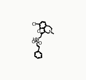 CN1CCc2ccc(Cl)c3oc(CNS(=O)(=O)C=Cc4ccccc4)c(c23)C1